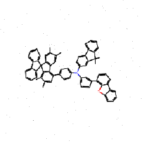 Cc1cc2c(cc1C)C1(c3ccccc3-c3ccccc31)c1c(C)c(C)cc(-c3ccc(N(c4cccc(-c5cccc6c5oc5ccccc56)c4)c4ccc5c(c4)C(C)(C)c4ccccc4-5)cc3)c1-2